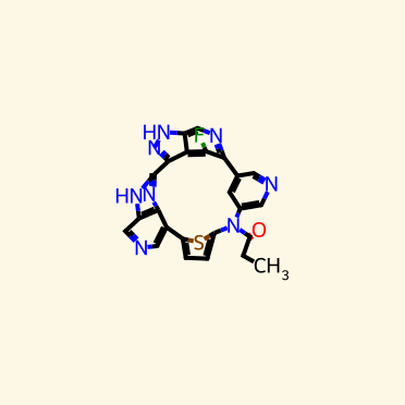 CCC(=O)n1c2cncc(c2)c2ncc3[nH]nc(c4nc5c(cncc5c5ccc1s5)[nH]4)c3c2F